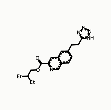 CCC(CC)COC(=O)c1cc2cc(CCc3nnn[nH]3)ccc2cn1